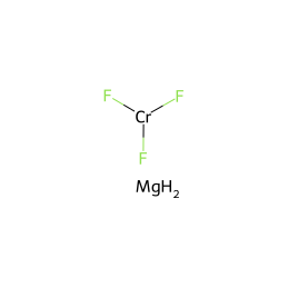 [F][Cr]([F])[F].[MgH2]